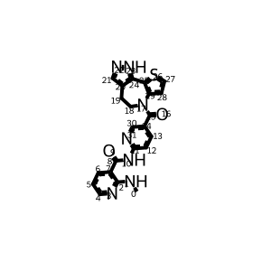 CNc1ncccc1C(=O)Nc1ccc(C(=O)N2CCc3cn[nH]c3-c3sccc32)cn1